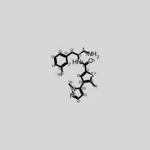 Cc1sc(C(=O)N[C@H](CN)Cc2cccc(F)c2)cc1-c1ccnn1C